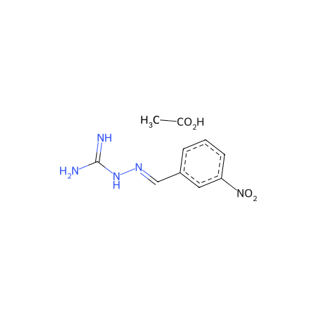 CC(=O)O.N=C(N)N/N=C/c1cccc([N+](=O)[O-])c1